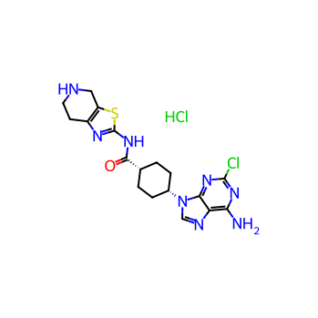 Cl.Nc1nc(Cl)nc2c1ncn2[C@H]1CC[C@@H](C(=O)Nc2nc3c(s2)CNCC3)CC1